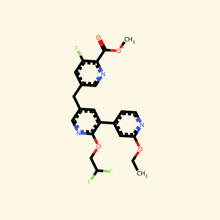 CCOc1cc(-c2cc(Cc3cnc(C(=O)OC)c(F)c3)cnc2OCC(F)F)ccn1